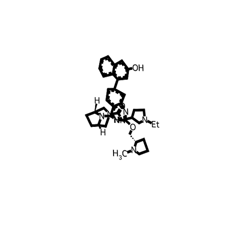 CCN1CCC(NC(=O)N2C[C@H]3CC[C@@H](C2)N3c2nc(OC[C@@H]3CCCN3C)nc3cc(-c4cc(O)cc5ccccc45)ccc23)C1